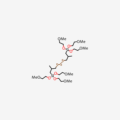 COCCO[Si](CC(C)CSSSCC(C)C[Si](OCCOC)(OCCOC)OCCOC)(OCCOC)OCCOC